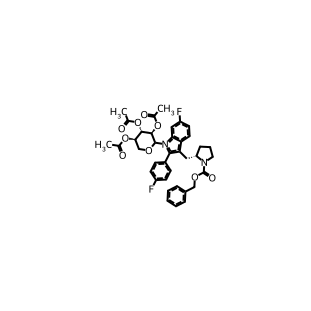 CC(=O)O[C@H]1[C@H](OC(C)=O)COC(n2c(-c3ccc(F)cc3)c(C[C@@H]3CCCN3C(=O)OCc3ccccc3)c3ccc(F)cc32)[C@@H]1OC(C)=O